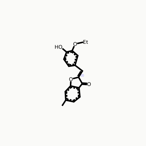 CCOc1cc(/C=C2\Oc3cc(C)ccc3C2=O)ccc1O